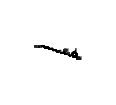 CCCCCCCCCCCCCCCCCCOC[C@@H](O)COCc1cc(F)cc(C#N)c1